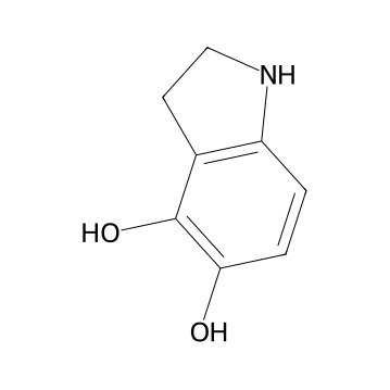 Oc1ccc2c(c1O)CCN2